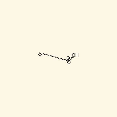 O=S(=O)(CCCO)CCCCCCCCCCCCCCC1CCC1